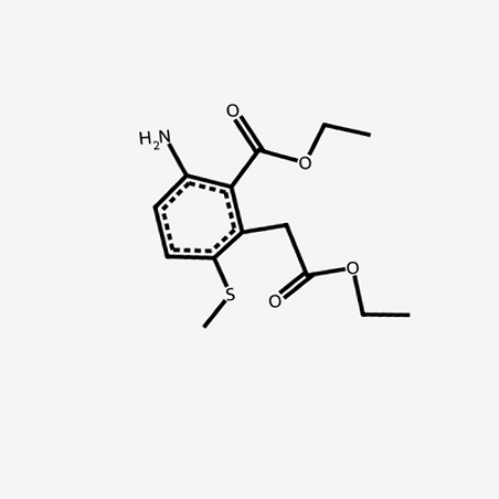 CCOC(=O)Cc1c(SC)ccc(N)c1C(=O)OCC